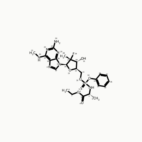 CCOC(=O)[C@@H](C)NP(=S)(OC[C@H]1O[C@@H](n2cnc3c(NC)nc(N)nc32)[C@](C)(F)[C@@H]1O)Oc1ccccc1